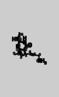 Cn1cc(C#CCN)c2c(=O)[nH]c(NI)nc21